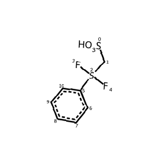 O=S(=O)(O)CS(F)(F)c1ccccc1